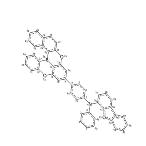 c1ccc(N(c2ccc(-c3cc4c5c(c3)Oc3ccc6ccccc6c3B5c3ccccc3O4)cc2)c2cccc3c2oc2ccccc23)cc1